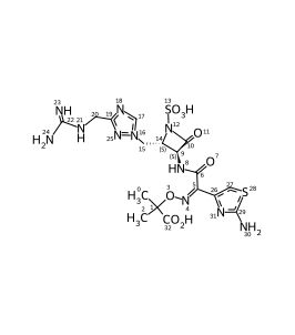 CC(C)(ON=C(C(=O)N[C@@H]1C(=O)N(S(=O)(=O)O)[C@H]1Cn1cnc(CNC(=N)N)n1)c1csc(N)n1)C(=O)O